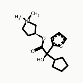 C[N+]1(C)CC[C@H](OC(=O)C(O)(c2cccs2)C2CCCC2)C1